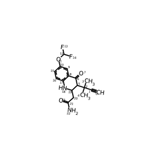 C#CC(C)(C)C1C(=O)c2cc(OC(F)F)ccc2NC1CC(N)=O